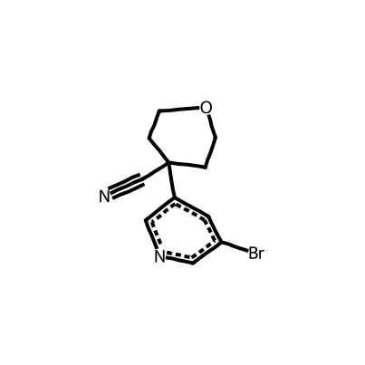 N#CC1(c2cncc(Br)c2)CCOCC1